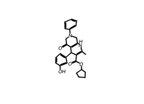 CC1=C(C(=O)OC2CCCC2)C(c2cccc(O)c2)C2=C(CN(c3ccccc3)CC2=O)N1